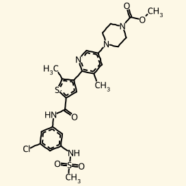 COC(=O)N1CCN(c2cnc(-c3cc(C(=O)Nc4cc(Cl)cc(NS(C)(=O)=O)c4)sc3C)c(C)c2)CC1